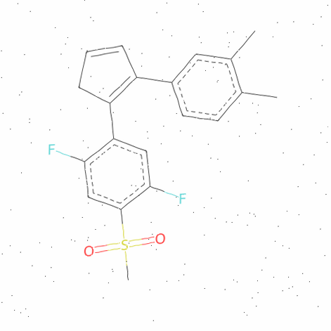 Cc1ccc(C2=C(c3cc(F)c(S(C)(=O)=O)cc3F)CC=C2)cc1C